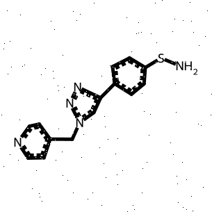 NSc1ccc(-c2cn(Cc3ccncc3)nn2)cc1